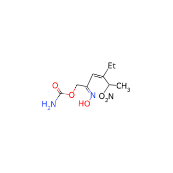 CCC(=CC(COC(N)=O)=NO)C(C)[N+](=O)[O-]